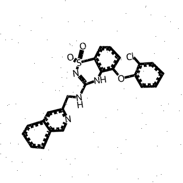 O=S1(=O)N=C(NCc2cc3ccccc3cn2)Nc2c(Oc3ccccc3Cl)cccc21